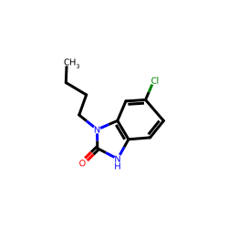 CCCCn1c(=O)[nH]c2ccc(Cl)cc21